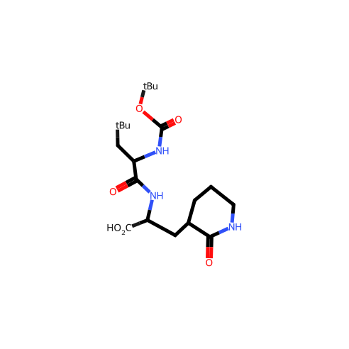 CC(C)(C)CC(NC(=O)OC(C)(C)C)C(=O)NC(CC1CCCNC1=O)C(=O)O